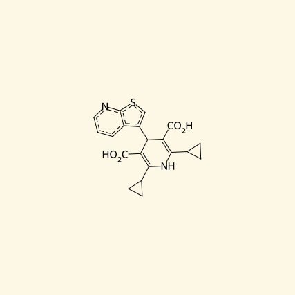 O=C(O)C1=C(C2CC2)NC(C2CC2)=C(C(=O)O)C1c1csc2ncccc12